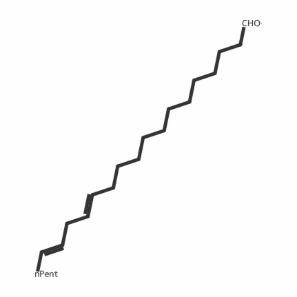 CCCCC/C=C/C/C=C/CCCCCCCCCCC[C]=O